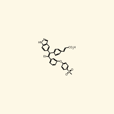 CC/C(=C(/c1ccc(/C=C/C(=O)O)cc1)c1ccc2[nH]ncc2c1)c1cccc(Oc2ccc(S(C)(=O)=O)cc2)c1